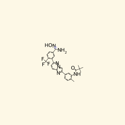 Cc1ccc(-c2cn3nc(-c4cc(/C(N)=N\O)ccc4C(F)(F)F)ccc3n2)cc1NC(=O)C(C)(C)C